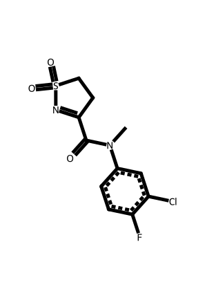 CN(C(=O)C1=NS(=O)(=O)CC1)c1ccc(F)c(Cl)c1